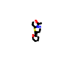 CCC(NC(C)=O)SC(CC)[SiH]1CCCCO1